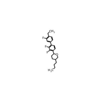 CCCCC1CCC(c2ccc(-c3ccc(CC)c(F)c3)c(F)c2F)OC1